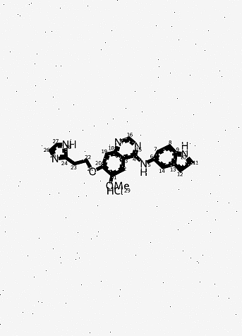 COc1cc2c(Nc3ccc4[nH]ccc4c3)ncnc2cc1OCCc1ncc[nH]1.Cl